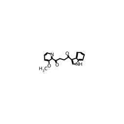 COc1cccnc1C(=O)CCC(=O)c1c[nH]c2ccccc12